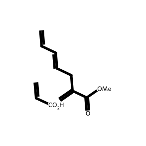 C=CC(=O)O.C=CC=CCC(=C)C(=O)OC